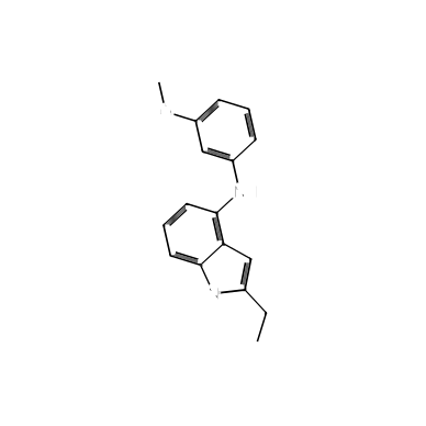 [CH2]Cc1cc2c(Nc3cccc(OC)c3)cccc2[nH]1